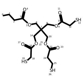 CCCC(=O)OCC(COC(=O)CS)(COC(=O)CS)COC(=O)CCS